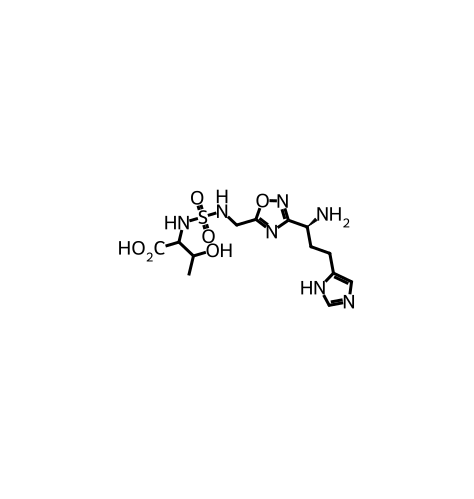 CC(O)C(NS(=O)(=O)NCc1nc([C@@H](N)CCc2cnc[nH]2)no1)C(=O)O